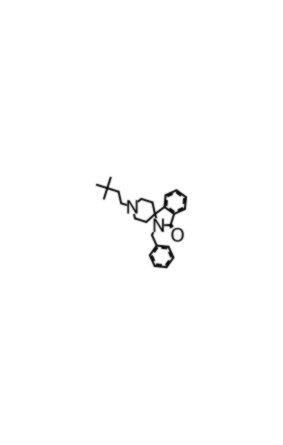 CC(C)(C)CCN1CCC2(CC1)c1ccccc1C(=O)N2Cc1ccccc1